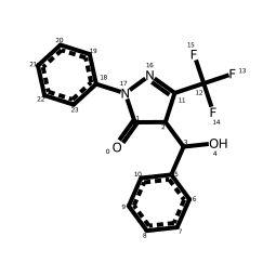 O=C1C(C(O)c2ccccc2)C(C(F)(F)F)=NN1c1ccccc1